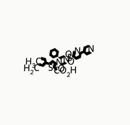 C=C/C=C(\C=C/C)c1cc(N2C(=O)CN(S(=O)(=O)c3ccc(-c4ccncc4)nc3)C[C@H]2C2CCCCC2)c(C(=O)O)s1